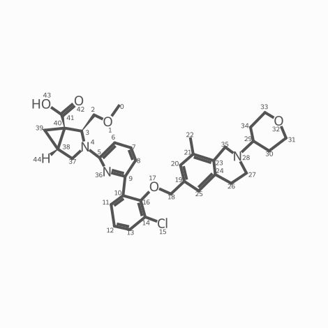 COC[C@H]1N(c2cccc(-c3cccc(Cl)c3OCc3cc(C)c4c(c3)CCN(C3CCOCC3)C4)n2)C[C@@H]2C[C@@]21C(=O)O